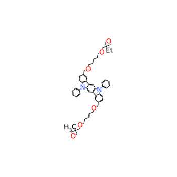 CCC1(COCCCCCOCc2ccc3c(c2)c2cc4c(cc2n3-c2ccccc2)c2cc(COCCCCCOCC3(C)COC3)ccc2n4-c2ccccc2)COC1